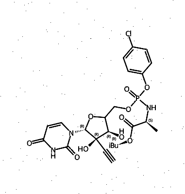 C#C[C@@]1(O)[C@H](O)C(COP(=O)(N[C@@H](C)C(=O)O[C@H](C)CC)Oc2ccc(Cl)cc2)O[C@H]1n1ccc(=O)[nH]c1=O